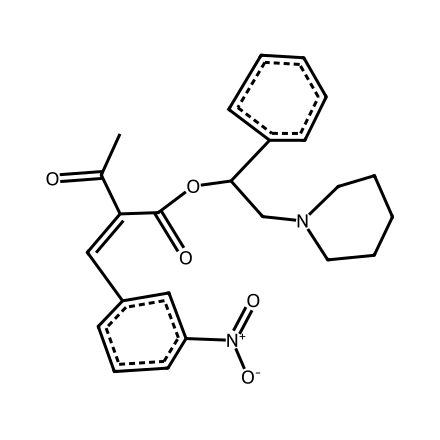 CC(=O)C(=Cc1cccc([N+](=O)[O-])c1)C(=O)OC(CN1CCCCC1)c1ccccc1